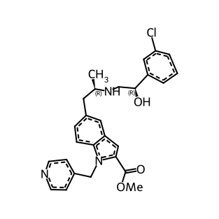 COC(=O)c1cc2cc(C[C@@H](C)NC[C@H](O)c3cccc(Cl)c3)ccc2n1Cc1ccncc1